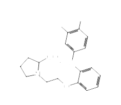 O=C(O)C1CCCN1CCOc1ccccc1Oc1ccc(F)c(F)c1